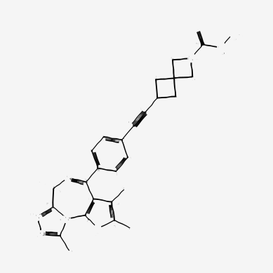 CC[C@@H]1N=C(c2ccc(C#CC3CC4(C3)CN(C(=O)OC(C)(C)C)C4)cc2)c2c(sc(C)c2C)-n2c(C)nnc21